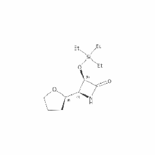 CC[Si](CC)(CC)O[C@H]1C(=O)N[C@H]1[C@H]1CCCO1